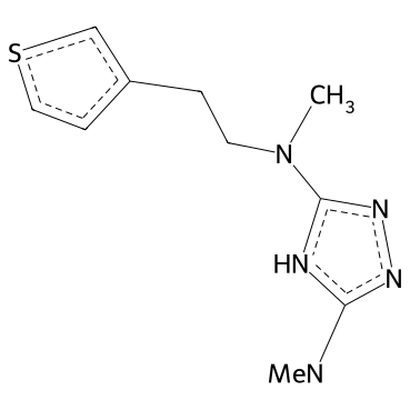 CNc1nnc(N(C)CCc2ccsc2)[nH]1